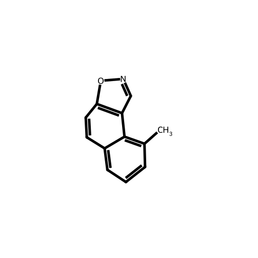 Cc1cccc2ccc3oncc3c12